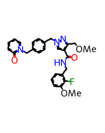 COCc1nn(Cc2ccc(Cn3ccccc3=O)cc2)cc1C(=O)NCc1cccc(OC)c1F